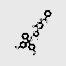 COc1ccc(C(OC[C@@H]2OC(n3ccc(NC(=O)c4ccccc4)nc3=O)C[C@@H]2C)(c2ccccc2)c2ccc(OC)cc2)cc1